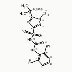 COC(C)(C)c1cc(S(=O)(=O)NC(=O)Nc2c(C(C)C)cccc2C(C)C)nn1C